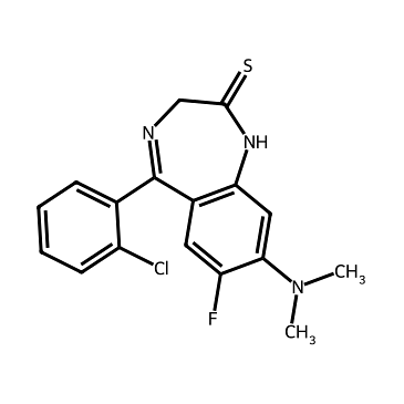 CN(C)c1cc2c(cc1F)C(c1ccccc1Cl)=NCC(=S)N2